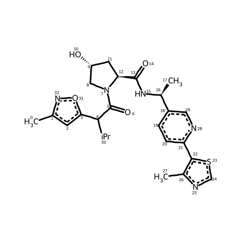 Cc1cc(C(C(=O)N2C[C@H](O)C[C@H]2C(=O)N[C@@H](C)c2ccc(-c3scnc3C)nc2)C(C)C)on1